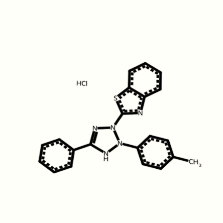 Cc1ccc(N2NC(c3ccccc3)=NN2c2nc3ccccc3s2)cc1.Cl